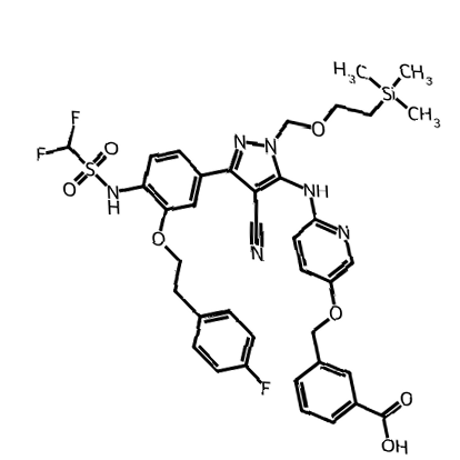 C[Si](C)(C)CCOCn1nc(-c2ccc(NS(=O)(=O)C(F)F)c(OCCc3ccc(F)cc3)c2)c(C#N)c1Nc1ccc(OCc2cccc(C(=O)O)c2)cn1